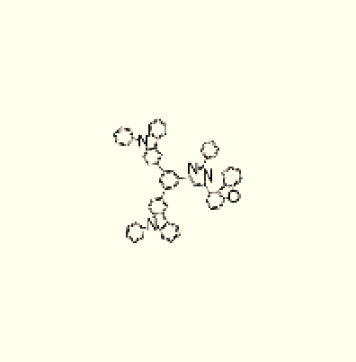 c1ccc(-c2nc(-c3cc(-c4ccc5c(c4)c4ccccc4n5-c4ccccc4)cc(-c4ccc5c(c4)c4ccccc4n5-c4ccccc4)c3)cc(-c3cccc4oc5ccccc5c34)n2)cc1